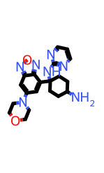 NC1CCC(Nc2ncccn2)(c2cc(N3CCOCC3)cc3nonc23)CC1